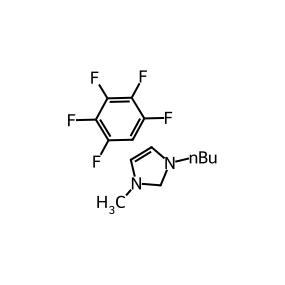 CCCCN1C=CN(C)C1.Fc1cc(F)c(F)c(F)c1F